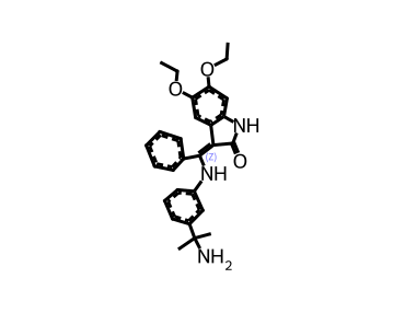 CCOc1cc2c(cc1OCC)/C(=C(/Nc1cccc(C(C)(C)N)c1)c1ccccc1)C(=O)N2